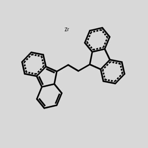 C1=CC2=c3ccccc3=C(CCC3c4ccccc4-c4ccccc43)C2C=C1.[Zr]